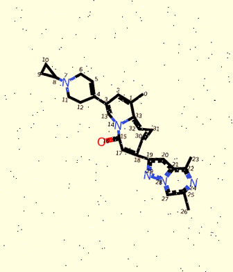 CC1=CC(C2=CCN(C3CC3)CC2)=CN2C(=O)\C=C(c3cc4c(C)nc(C)cn4n3)/C=C/C=C\12